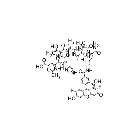 CC(=O)N[C@@H](CCC(=O)O)C(=O)N[C@@H](Cc1c[nH]cn1)C(=O)N[C@H](C(=O)N[C@@H](C)C(=O)N[C@@H](C)C(=O)N[C@@H](C)C(=O)N[C@@H](CCCCNC(=O)c1ccc(-c2c3cc(F)c(=O)cc-3oc3cc(O)c(F)cc23)c(C(=O)O)c1)C(N)=O)[C@@H](C)O